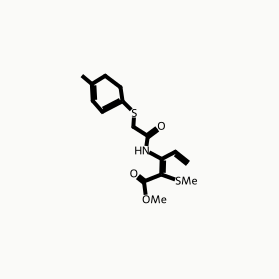 C=C/C(NC(=O)CSC1=CC=C(C)CC1)=C(\SC)C(=O)OC